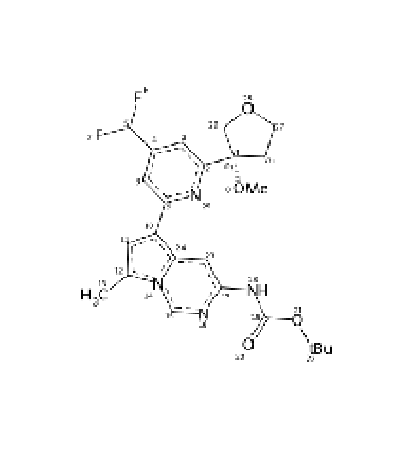 CO[C@@]1(c2cc(C(F)F)cc(-c3cc(C)n4cnc(NC(=O)OC(C)(C)C)cc34)n2)CCOC1